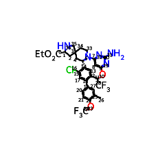 CCOC(=O)[C@@H]1CC2(CCN(c3cc(OC(c4ccc(Cl)cc4-c4ccc(OC(F)(F)F)c(C)c4)C(F)(F)F)nc(N)n3)CC2)CN1